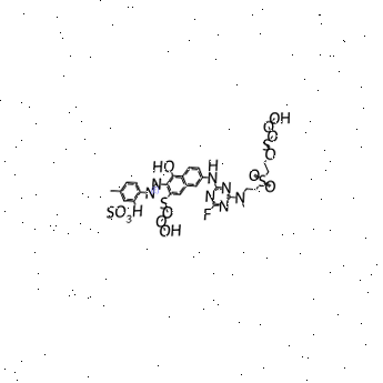 Cc1ccc(/N=N/c2c(SOOO)cc3cc(Nc4nc(F)nc(N(C)CCS(=O)(=O)CCOSOOO)n4)ccc3c2O)c(S(=O)(=O)O)c1